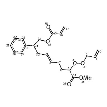 C=CCOOC(CCC=CCC(COC(=O)C=C)c1ccccc1)C(=O)OC